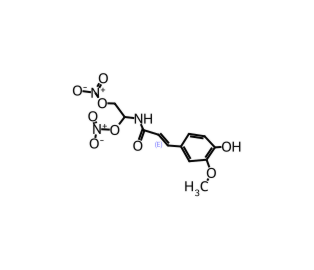 COc1cc(/C=C/C(=O)NC(CO[N+](=O)[O-])O[N+](=O)[O-])ccc1O